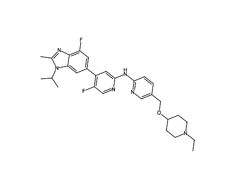 CCN1CCC(OCc2ccc(Nc3cc(-c4cc(F)c5nc(C)n(C(C)C)c5c4)c(F)cn3)nc2)CC1